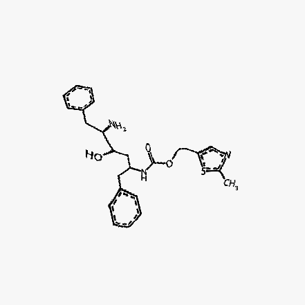 Cc1ncc(COC(=O)NC(Cc2ccccc2)CC(O)C(N)Cc2ccccc2)s1